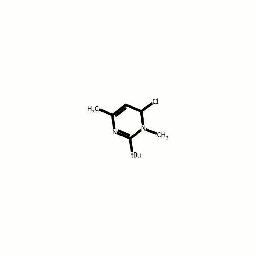 CC1=CC(Cl)N(C)C(C(C)(C)C)=N1